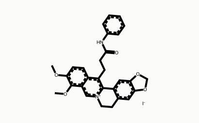 COc1ccc2c(CCC(=O)Nc3ccccc3)c3[n+](cc2c1OC)CCc1cc2c(cc1-3)OCO2.[I-]